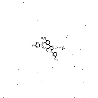 C[C@H](Oc1cc(-c2nn(COCC[Si](C)(C)C)c(Nc3cccc(C(F)(F)F)n3)c2C(N)=O)ccc1N)c1ccc(F)cc1